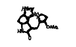 COc1cc[nH]c1/C=C1/C(=O)Nc2ccc3[nH]cnc3c21